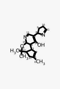 CC1=CC2C3C(O)=C(C4CCC=N4)C=NC3OC(C)(C)C2C1